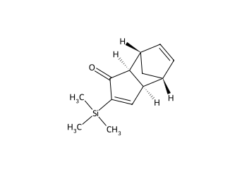 C[Si](C)(C)C1=C[C@H]2[C@@H](C1=O)[C@@H]1C=C[C@H]2C1